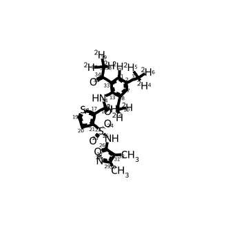 [2H]c1c(C([2H])([2H])[2H])cc(C([2H])([2H])[2H])c(NC(=O)c2sccc2S(=O)(=O)Nc2onc(C)c2C)c1C(=O)C([2H])([2H])[2H]